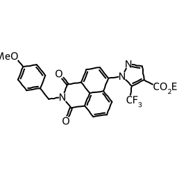 CCOC(=O)c1cnn(-c2ccc3c4c(cccc24)C(=O)N(Cc2ccc(OC)cc2)C3=O)c1C(F)(F)F